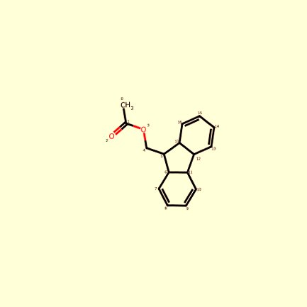 CC(=O)OCC1C2C=CC=CC2C2C=CC=CC21